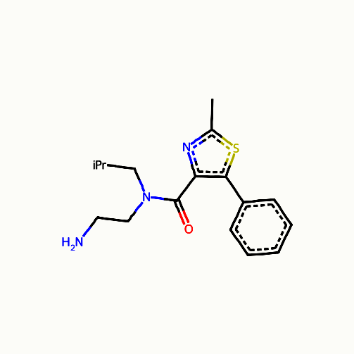 Cc1nc(C(=O)N(CCN)CC(C)C)c(-c2ccccc2)s1